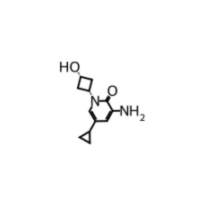 Nc1cc(C2CC2)cn([C@H]2C[C@@H](O)C2)c1=O